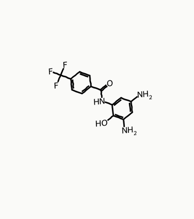 Nc1cc(N)c(O)c(NC(=O)c2ccc(C(F)(F)F)cc2)c1